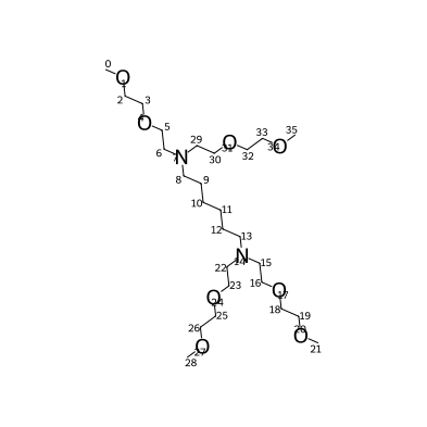 COCCOCCN(CCCCCCN(CCOCCOC)CCOCCOC)CCOCCOC